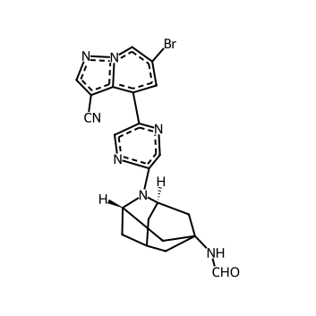 N#Cc1cnn2cc(Br)cc(-c3cnc(N4[C@@H]5CC6C[C@H]4CC(NC=O)(C6)C5)cn3)c12